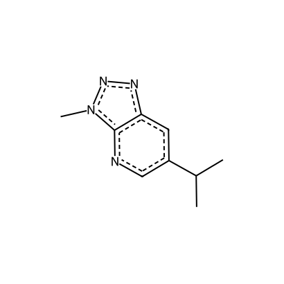 CC(C)c1cnc2c(c1)nnn2C